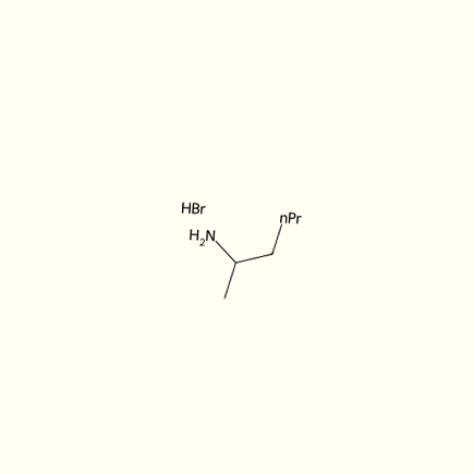 Br.CCCCC(C)N